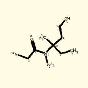 CCC(C)(CCO)N(N)C(=O)CF